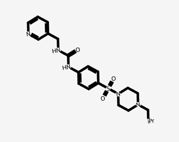 CC(C)CN1CCN(S(=O)(=O)c2ccc(NC(=O)NCc3cccnc3)cc2)CC1